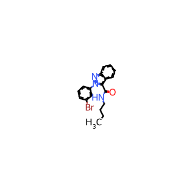 CCCCNC(=O)c1c2ccccc2nn1-c1cccc(Br)c1